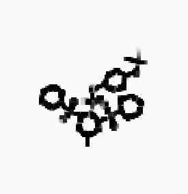 Cc1cc(S(=O)(=O)c2ccccc2)c(S(=O)(=O)Oc2ccc(OC(C)(C)C)cc2)c(S(=O)(=O)c2ccccc2)c1